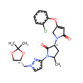 CC1C[C@H](N2CC(Oc3ccccc3Cl)=CC2=O)C(=O)N1c1ccn(C[C@@H]2COC(C)(C)O2)n1